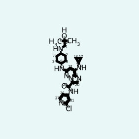 CC(C)(O)CN[C@H]1CC[C@H](Nc2cc(NC3CC3)c3ncc(C(=O)Nc4ccnc(Cl)c4)n3n2)CC1